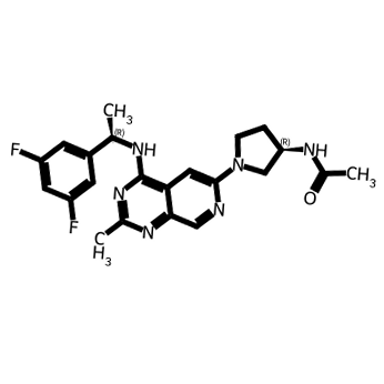 CC(=O)N[C@@H]1CCN(c2cc3c(N[C@H](C)c4cc(F)cc(F)c4)nc(C)nc3cn2)C1